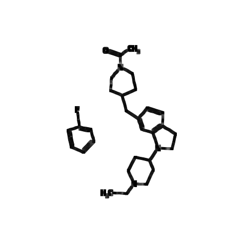 CCN1CCC(N2CCc3ccc(CC4CCN(C(C)=O)CC4)cc32)CC1.Fc1ccccc1